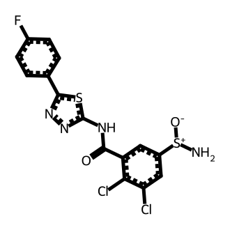 N[S+]([O-])c1cc(Cl)c(Cl)c(C(=O)Nc2nnc(-c3ccc(F)cc3)s2)c1